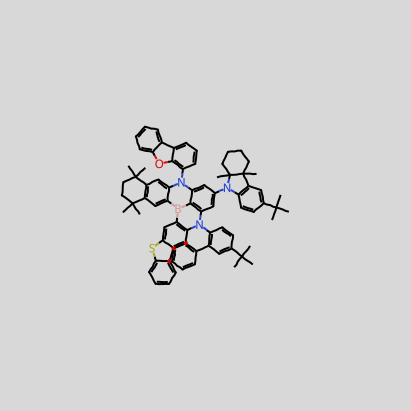 CC(C)(C)c1ccc(N2c3cc4c(cc3B3c5cc6c(cc5N(c5cccc7c5oc5ccccc57)c5cc(N7c8ccc(C(C)(C)C)cc8C8(C)CCCCC78C)cc2c53)C(C)(C)CCC6(C)C)sc2ccccc24)c(-c2ccccc2)c1